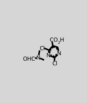 CN(C)C=O.O=C(O)c1cnc(Cl)nc1Cl